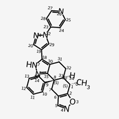 C[C@@H]1c2oncc2C[C@]2(c3ccccc3)c3n[nH]c(-c4cnn(-c5ccncc5)c4)c3CC[C@@H]12